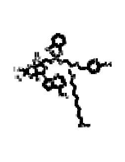 CCCCCCCCCCCCCCCCCCOC[C@H](COP(=O)(OC[C@@]1(C)O[C@@H](c2ccc3c(N)ncnn23)[C@@H]2OC(C)(C)O[C@@H]21)Oc1ccccc1Cl)OCc1ccc(C#N)nc1